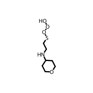 OOOSCCNC1CCOCC1